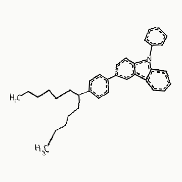 CCCCCCC(CCCCCC)c1ccc(-c2ccc3c(c2)c2ccccc2n3-c2ccccc2)cc1